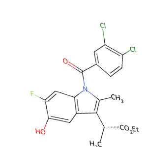 CCOC(=O)[C@H](C)c1c(C)n(C(=O)c2ccc(Cl)c(Cl)c2)c2cc(F)c(O)cc12